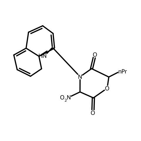 CCCC1OC(=O)C([N+](=O)[O-])N(C2CC3=CC=CC4=CC=CCC43CN2)C1=O